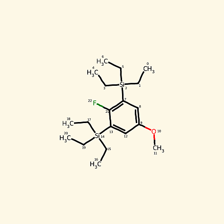 CC[Si](CC)(CC)c1cc(OC)cc([Si](CC)(CC)CC)c1F